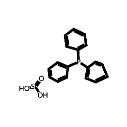 O=[Si](O)O.c1ccc(P(c2ccccc2)c2ccccc2)cc1